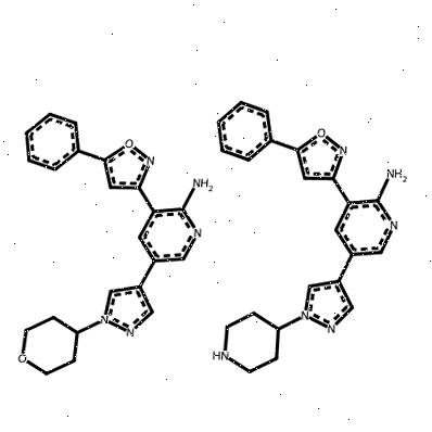 Nc1ncc(-c2cnn(C3CCNCC3)c2)cc1-c1cc(-c2ccccc2)on1.Nc1ncc(-c2cnn(C3CCOCC3)c2)cc1-c1cc(-c2ccccc2)on1